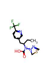 CCC(Cc1ccc(C(F)(F)F)nc1)N(C(=O)O)N1CSC=N1